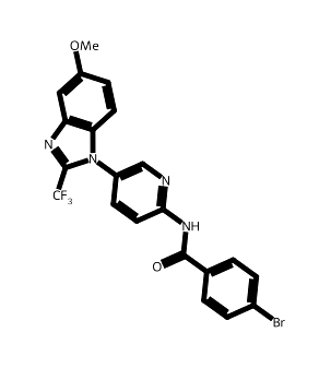 COc1ccc2c(c1)nc(C(F)(F)F)n2-c1ccc(NC(=O)c2ccc(Br)cc2)nc1